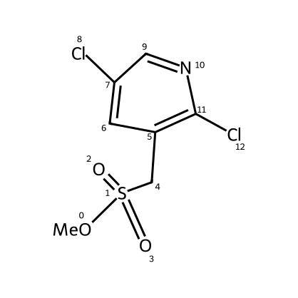 COS(=O)(=O)Cc1cc(Cl)cnc1Cl